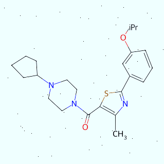 Cc1nc(-c2cccc(OC(C)C)c2)sc1C(=O)N1CCN(C2CCCC2)CC1